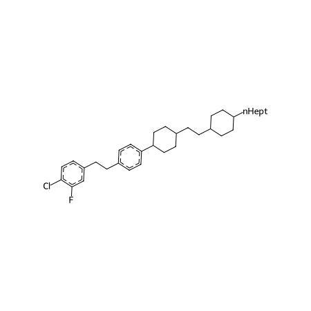 CCCCCCCC1CCC(CCC2CCC(c3ccc(CCc4ccc(Cl)c(F)c4)cc3)CC2)CC1